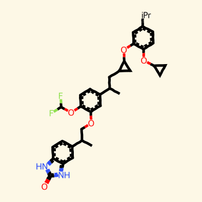 CC(C)c1ccc(OC2CC2)c(OC2CC2CC(C)c2ccc(OC(F)F)c(OCC(C)c3ccc4[nH]c(=O)[nH]c4c3)c2)c1